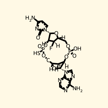 Nc1ccn([C@@H]2O[C@@H]3COP(=O)(O)O[C@@H]4[C@H](F)[C@@H](COP(=O)(S)O[C@@H]2[C@@H]3F)O[C@H]4n2cnc3c(N)ncnc32)c(=O)n1